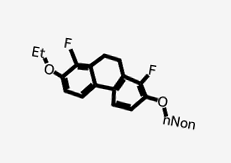 CCCCCCCCCOc1ccc2c(c1F)CCc1c-2ccc(OCC)c1F